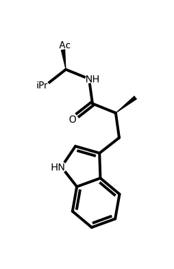 CC(=O)[C@@H](NC(=O)[C@@H](C)Cc1c[nH]c2ccccc12)C(C)C